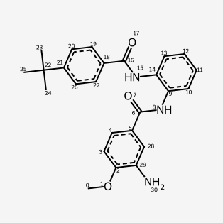 COc1ccc(C(=O)Nc2ccccc2NC(=O)c2ccc(C(C)(C)C)cc2)cc1N